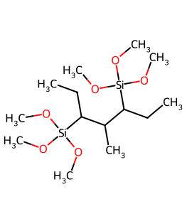 CCC(C(C)C(CC)[Si](OC)(OC)OC)[Si](OC)(OC)OC